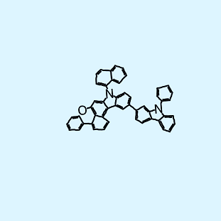 c1ccc(-n2c3ccccc3c3ccc(-c4ccc5c(c4)c4c6cccc7c6c(cc4n5-c4cccc5ccccc45)Oc4ccccc4-7)cc32)cc1